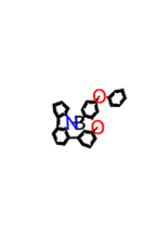 c1ccc(Oc2ccc3c(c2)Oc2cccc4c2B3n2c3ccccc3c3cccc-4c32)cc1